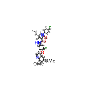 C/C=C/c1cn(-c2ccc(F)cc2)c(=O)c(C(=O)Nc2ccc(Oc3ccnc4cc(OC)c(OC)cc34)c(F)c2)c1C